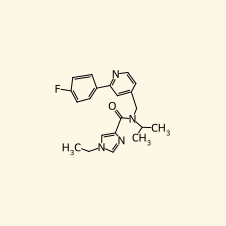 CCn1cnc(C(=O)N(Cc2ccnc(-c3ccc(F)cc3)c2)C(C)C)c1